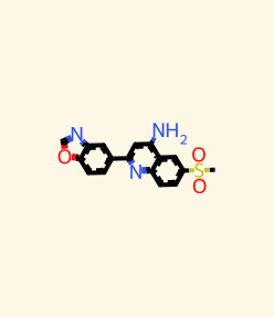 CS(=O)(=O)c1ccc2nc(-c3ccc4ocnc4c3)cc(N)c2c1